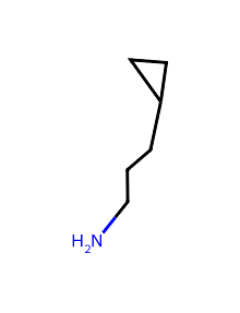 NCCCC1CC1